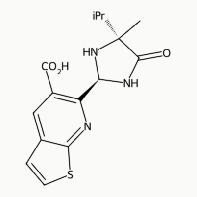 CC(C)[C@@]1(C)N[C@H](c2nc3sccc3cc2C(=O)O)NC1=O